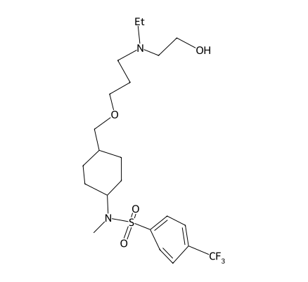 CCN(CCO)CCCOCC1CCC(N(C)S(=O)(=O)c2ccc(C(F)(F)F)cc2)CC1